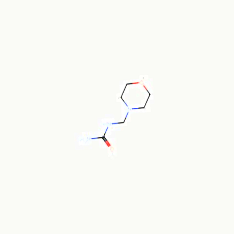 NC(=O)NCN1CCOCC1